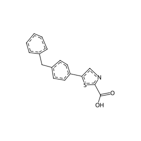 O=C(O)c1ncc(-c2ccc(Cc3ccccc3)cc2)s1